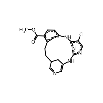 COC(=O)c1ccc2cc1CCC1C=NC=C(C1)Nc1ncc(Cl)c(n1)N2